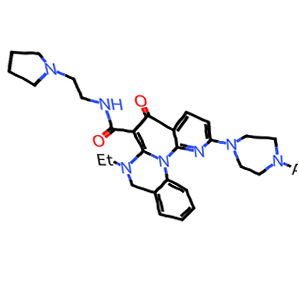 CCN1Cc2ccccc2-n2c1c(C(=O)NCCN1CCCC1)c(=O)c1ccc(N3CCN(C(C)=O)CC3)nc12